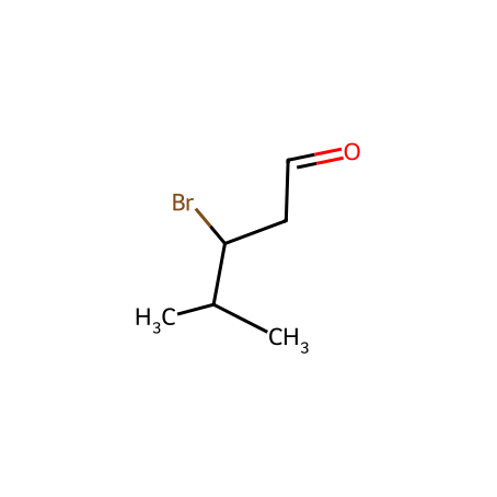 CC(C)C(Br)CC=O